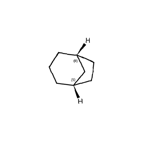 C1C[C@@H]2CC[C@H](C1)C2